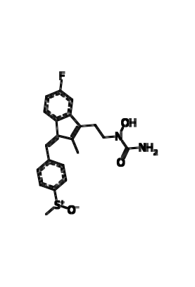 CC1=C(CCN(O)C(N)=O)c2cc(F)ccc2/C1=C/c1ccc([S+](C)[O-])cc1